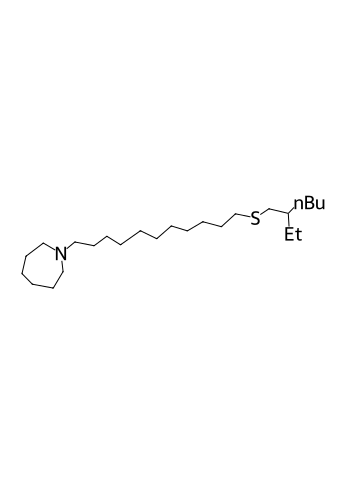 CCCCC(CC)CSCCCCCCCCCCCN1CCCCCC1